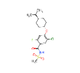 CC(C)[C@H]1CC[C@H](Oc2cc(F)c(C(=O)NS(C)(=O)=O)cc2Cl)CC1